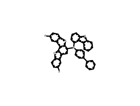 Fc1ccc2oc3c(cc(N(c4ccc(-c5ccccc5)cc4)c4cccc5sc6ccccc6c45)c4sc5ccc(F)cc5c43)c2c1